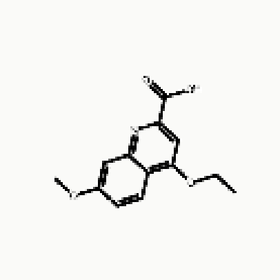 CCOc1cc(C(=O)O)nc2cc(OC)ccc12